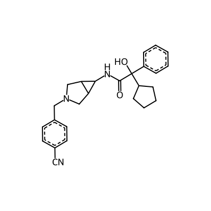 N#Cc1ccc(CN2CC3C(C2)C3NC(=O)C(O)(c2ccccc2)C2CCCC2)cc1